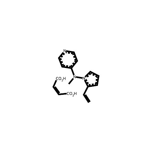 C=Cc1cccn1N(C)c1ccncc1.O=C(O)/C=C\C(=O)O